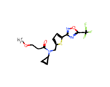 COCCC(=O)N(Cc1ccc(-c2noc(C(F)(F)F)n2)s1)C1CC1